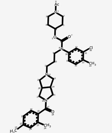 CC(=O)N1CCC(OC(=O)N(CCCN2CC3CN(C(=O)c4ccc(C)cc4C)CC3C2)c2ccc(C)c(Cl)c2)CC1